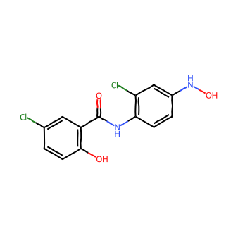 O=C(Nc1ccc(NO)cc1Cl)c1cc(Cl)ccc1O